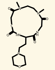 CN1CCN(C)C(=O)CNC(=O)C(CCN2CCOCC2)NC(=O)CCC1=O